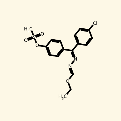 CCOC=NN=C(c1ccc(Cl)cc1)c1ccc(OS(C)(=O)=O)cc1